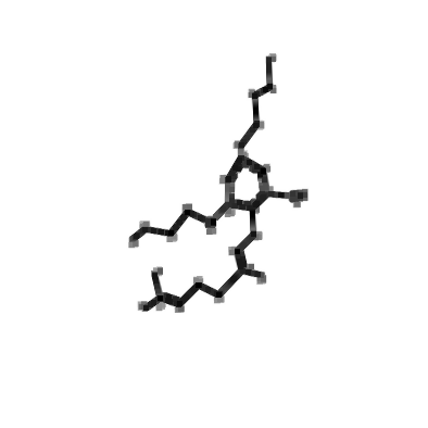 CCCCCc1cc(O)c(C/C=C(\C)CCC=C(C)C)c(OCCCC)c1